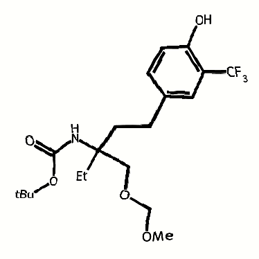 CCC(CCc1ccc(O)c(C(F)(F)F)c1)(COCOC)NC(=O)OC(C)(C)C